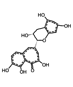 O=c1c(O)cc([C@H]2Oc3cc(O)cc(O)c3C[C@H]2O)cc2ccc(O)c(O)c12